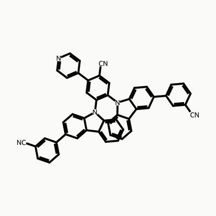 N#Cc1cccc(-c2ccc3c(c2)c2ccccc2n3-c2cc(C#N)c(-c3ccncc3)cc2-n2c3ccccc3c3cc(-c4cccc(C#N)c4)ccc32)c1